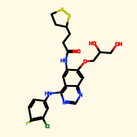 O=C(CCC1CCSS1)Nc1cc2c(Nc3ccc(F)c(Cl)c3)ncnc2cc1OCC(O)CO